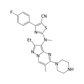 CCc1nn2cc(C)c(N3CCNCC3)nc2c1N(C)c1nc(-c2ccc(F)cc2)c(C#N)s1